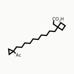 CC(=O)C1(CCCCCCCCCCC2(CC(=O)O)CCC2)CC1